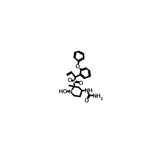 C=CC(c1ccccc1Oc1ccccc1)S(=O)(=O)C1(C)CC(NC(N)=O)CCN1O